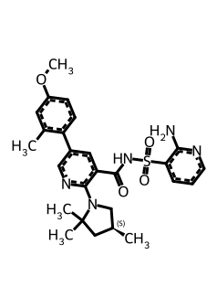 COc1ccc(-c2cnc(N3C[C@@H](C)CC3(C)C)c(C(=O)NS(=O)(=O)c3cccnc3N)c2)c(C)c1